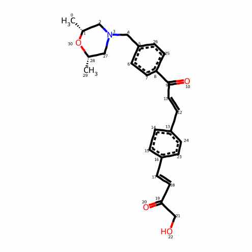 C[C@@H]1CN(Cc2ccc(C(=O)/C=C/c3ccc(/C=C/C(=O)CO)cc3)cc2)C[C@H](C)O1